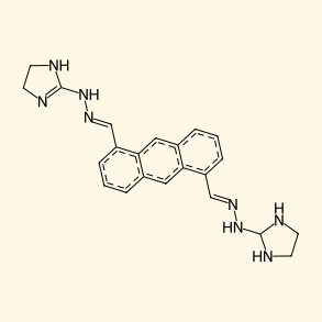 C(=N\NC1=NCCN1)/c1cccc2cc3c(/C=N/NC4NCCN4)cccc3cc12